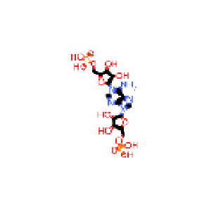 Nc1c2ncn(C3OC(COP(=O)(O)O)C(O)C3O)c2nc[n+]1C1OC(COP(=O)(O)O)C(O)C1O